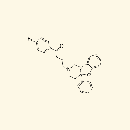 O=C(CCCN1CCC2(c3ccccc3)Oc3ccccc3C2C1)c1ccc(F)cc1